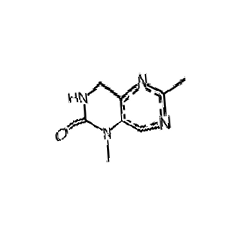 Cc1ncc2c(n1)CNC(=O)N2C